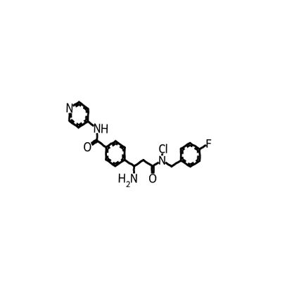 NC(CC(=O)N(Cl)Cc1ccc(F)cc1)c1ccc(C(=O)Nc2ccncc2)cc1